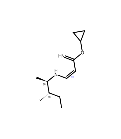 CC[C@H](C)[C@@H](C)N/C=C\C(=N)OC1CC1